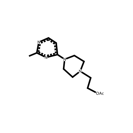 CC(=O)OCCN1CCN(c2ccnc(C)n2)CC1